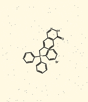 O=c1[nH]ncc2cc(C[P+](c3ccccc3)(c3ccccc3)c3ccccc3)ccc12.[Br-]